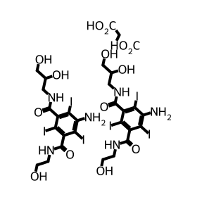 Nc1c(I)c(C(=O)NCCO)c(I)c(C(=O)NCC(O)CO)c1I.Nc1c(I)c(C(=O)NCCO)c(I)c(C(=O)NCC(O)CO)c1I.O=C(O)CC(=O)O